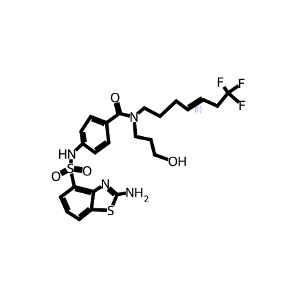 Nc1nc2c(S(=O)(=O)Nc3ccc(C(=O)N(CCCO)CCC/C=C/CC(F)(F)F)cc3)cccc2s1